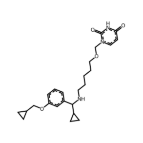 O=c1ccn(COCCCCCNC(c2cccc(OCC3CC3)c2)C2CC2)c(=O)[nH]1